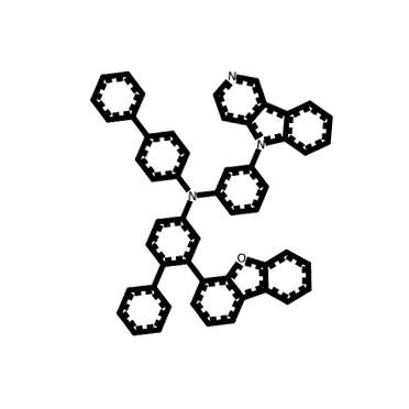 c1ccc(-c2ccc(N(c3cccc(-n4c5ccccc5c5cnccc54)c3)c3ccc(-c4ccccc4)c(-c4cccc5c4oc4ccccc45)c3)cc2)cc1